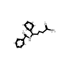 NC(=O)CCCC(NC(=O)c1ccccc1)c1ccccc1